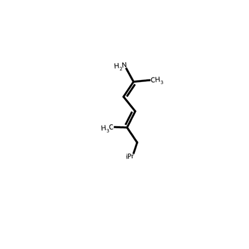 C/C(N)=C\C=C(/C)CC(C)C